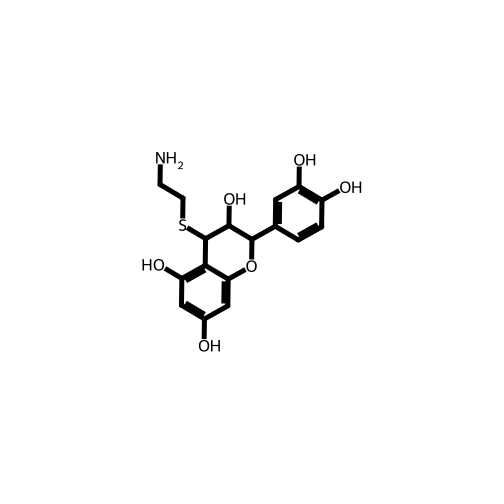 NCCSC1c2c(O)cc(O)cc2OC(c2ccc(O)c(O)c2)C1O